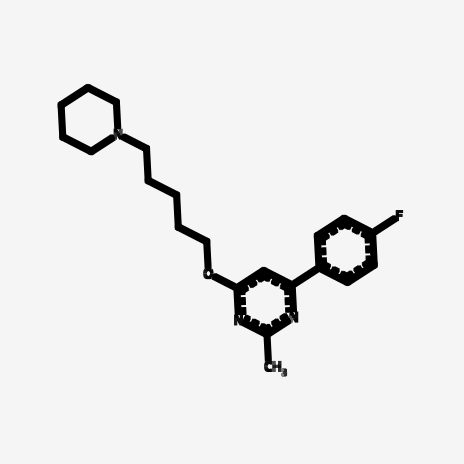 Cc1nc(OCCCCCN2CCCCC2)cc(-c2ccc(F)cc2)n1